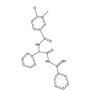 Cc1cc(C(=O)NC(C(=O)NC(=N)c2ccccc2)c2ccccc2)ccc1Cl